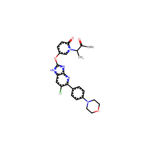 COC(=O)C(C)n1cc(Oc2nc3nc(-c4ccc(N5CCOCC5)cc4)c(Cl)cc3[nH]2)ccc1=O